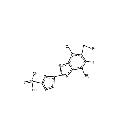 CC(C)Cc1c(F)c(N)c2nc(-c3ccc(P(=O)(O)O)o3)[nH]c2c1Cl